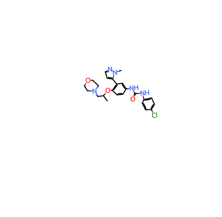 CC(CN1CCOCC1)Oc1ccc(NC(=O)Nc2ccc(Cl)cc2)cc1-c1ccnn1C